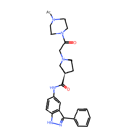 CC(=O)N1CCN(C(=O)CN2CC[C@@H](C(=O)Nc3ccc4[nH]nc(-c5ccccc5)c4c3)C2)CC1